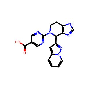 O=C(O)c1cnc(N2CCc3[nH]cnc3C2c2cc3ccccn3n2)nc1